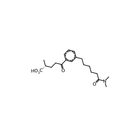 C[C@H](CCC(=O)c1cccc(CCCCCC(=O)N(C)C)c1)C(=O)O